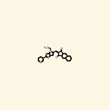 CCn1c(C=C2C(=O)c3cc4ccccc4cc3C2=O)cc2sc(-c3cccnc3)nc21